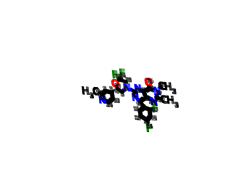 Cc1cc([C@H]2CN(c3nc(-c4ccc(F)cc4F)c4nc(C)n(C)c(=O)c4n3)CC(F)(F)O2)ccn1